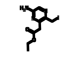 CCOC(=O)Cc1nc(N)cnc1CI